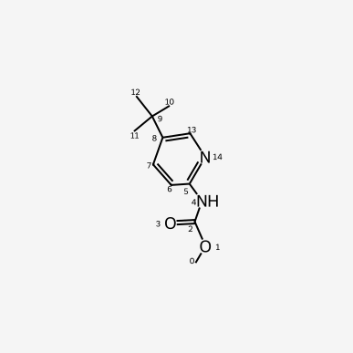 COC(=O)Nc1ccc(C(C)(C)C)cn1